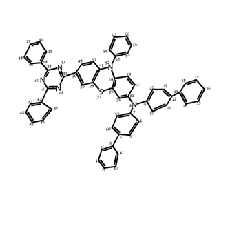 c1ccc(-c2ccc(N(c3ccc(-c4ccccc4)cc3)c3ccc4c(c3)Sc3cc(-c5nc(-c6ccccc6)nc(-c6ccccc6)n5)ccc3N4c3ccccc3)cc2)cc1